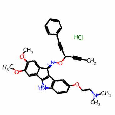 CC#CC(C#Cc1ccccc1)O/N=C1/c2cc(OC)c(OC)cc2-c2[nH]c3ccc(OCCN(C)C)cc3c21.Cl